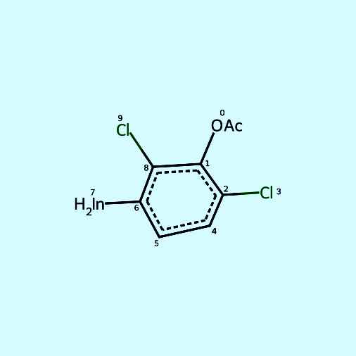 CC(=O)Oc1c(Cl)cc[c]([InH2])c1Cl